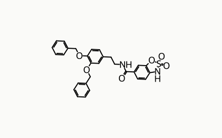 O=C(NCCc1ccc(OCc2ccccc2)c(OCc2ccccc2)c1)c1ccc2c(c1)OS(=O)(=O)N2